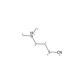 C[SiH](C)CCSC#N